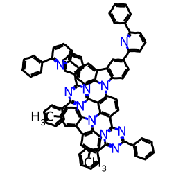 Cc1ccc2c(c1)c1cc(C)ccc1n2-c1c(-c2nc(-c3ccccc3)nc(-c3ccccc3)n2)ccc(-n2c3ccc(-c4cccc(-c5ccccc5)n4)cc3c3cc(-c4cccc(-c5ccccc5)n4)ccc32)c1-c1nc(-c2ccccc2)nc(-c2ccccc2)n1